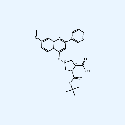 COC1=CC2N=C(c3ccccc3)C=C(O[C@@H]3C[C@@H](C(=O)O)N(C(=O)OC(C)(C)C)C3)C2C=C1